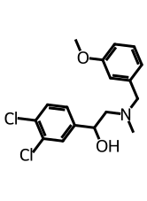 COc1cccc(CN(C)CC(O)c2ccc(Cl)c(Cl)c2)c1